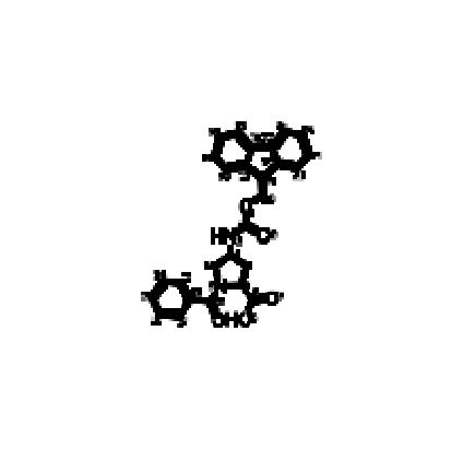 O=C(N[C@@H]1C[C@@H](C(=O)O)N(C(=O)c2ccccc2)C1)OCC1c2ccccc2-c2ccccc21